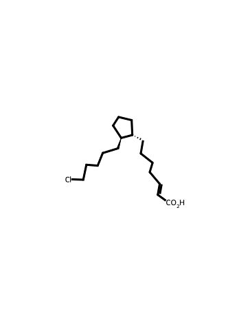 O=C(O)C=CCCCC[C@H]1CCC[C@@H]1CCCCCCl